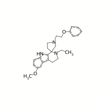 CCN1CCc2c([nH]c3ccc(OC)cc23)C12CCN(CCOc1ccccc1)C2